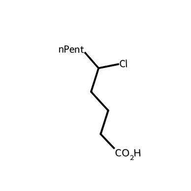 CCCCCC(Cl)CCCC(=O)O